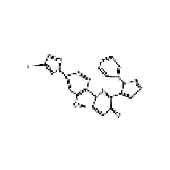 COc1cc(-n2cc(Cl)cn2)ccc1-n1ccc(=O)c(-c2ccnn2-c2ccccc2)n1